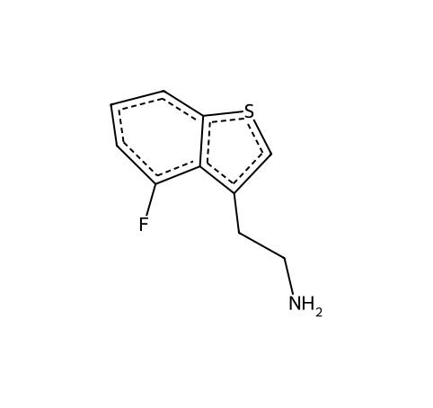 NCCc1csc2cccc(F)c12